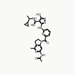 CC(=O)Nc1cc2c(c(C)n1)CCN2C(=O)c1cccc(Nc2snc(O)c2C(=N)NC(C)C2CC2)n1